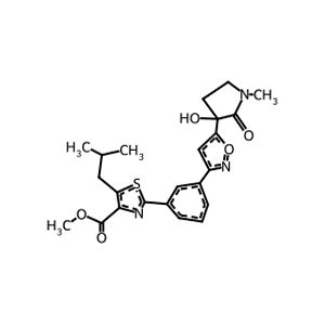 COC(=O)c1nc(-c2cccc(-c3cc(C4(O)CCN(C)C4=O)on3)c2)sc1CC(C)C